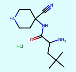 CC(C)(C)CC(N)C(=O)NC1(C#N)CCNCC1.Cl